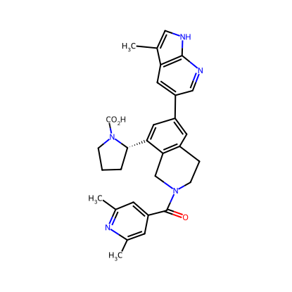 Cc1cc(C(=O)N2CCc3cc(-c4cnc5[nH]cc(C)c5c4)cc([C@@H]4CCCN4C(=O)O)c3C2)cc(C)n1